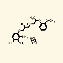 COc1ccccc1OC(C)CNCC(O)COc1ccc(C)c(N)c1N.Cl.Cl.Cl